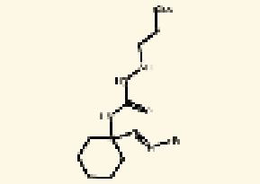 CCCCCCCCCCCCNNC(=O)NC1(N=NC(C)C)CCCCC1